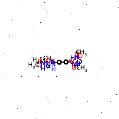 COC(=O)N[C@@H](C(C)C)C(O)N1CCC[C@H]1c1ncc(-c2ccc(-c3ccc(C(=O)CNC(=O)[C@H](C)N4CCC[C@@H](NC(=O)OC)C4=O)cc3)cc2)[nH]1